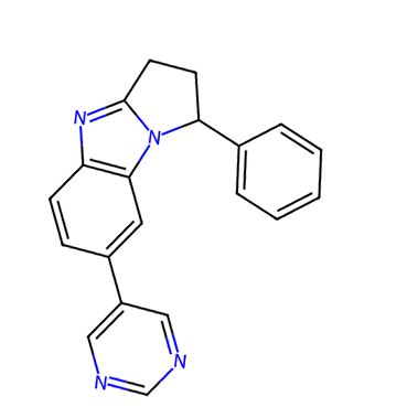 c1ccc(C2CCc3nc4ccc(-c5cncnc5)cc4n32)cc1